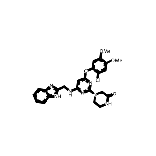 COc1cc(Cl)c(Oc2cc(NCc3nc4ccccc4[nH]3)nc(N3CCNC(=O)C3)n2)cc1OC